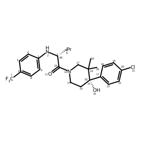 CC(C)[C@@H](Nc1ccc(C(F)(F)F)cc1)C(=O)N1CC[C@](O)(c2ccc(Cl)cc2)C(C)(C)C1